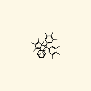 CC1=C(C)C(C)([Si](c2ccccc2)(c2cc(C)c(C)c(C)c2)c2cc(C)c(C)c(C)c2)[C]([Ti]([CH3])([CH3])[CH3])=C1C